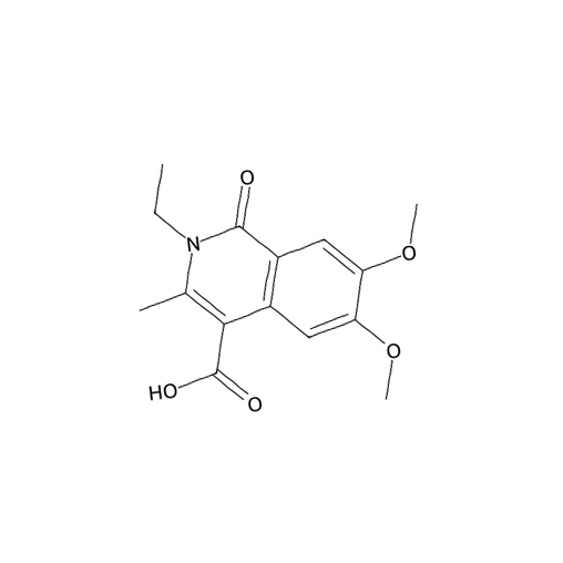 CCn1c(C)c(C(=O)O)c2cc(OC)c(OC)cc2c1=O